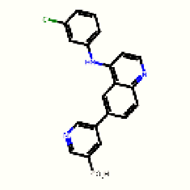 O=C(O)c1cncc(-c2ccc3nccc(Nc4cccc(Cl)c4)c3c2)c1